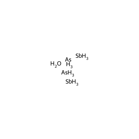 O.[AsH3].[AsH3].[SbH3].[SbH3]